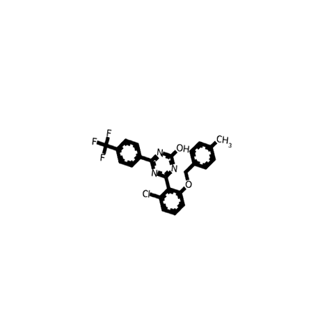 Cc1ccc(COc2cccc(Cl)c2-c2nc(O)nc(-c3ccc(C(F)(F)F)cc3)n2)cc1